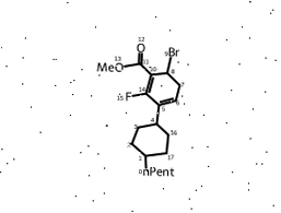 CCCCCC1CCC(C2=CCC(Br)C(C(=O)OC)=C2F)CC1